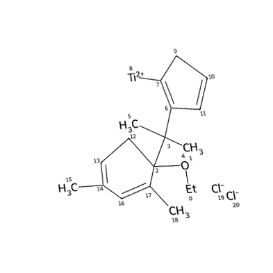 CCOC1(C(C)(C)C2=[C]([Ti+2])CC=C2)CC=C(C)C=C1C.[Cl-].[Cl-]